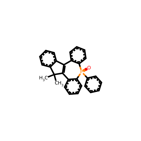 CC1(C)C2=C(c3ccccc31)c1ccccc1P(=O)(c1ccccc1)c1ccccc12